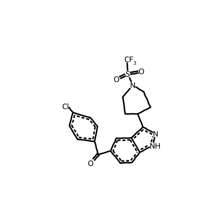 O=C(c1ccc(Cl)cc1)c1ccc2[nH]nc(C3CCN(S(=O)(=O)C(F)(F)F)CC3)c2c1